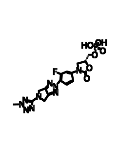 Cn1nnc(N2Cc3nn(-c4ccc(N5C[C@H](COP(=O)(O)O)OC5=O)cc4F)nc3C2)n1